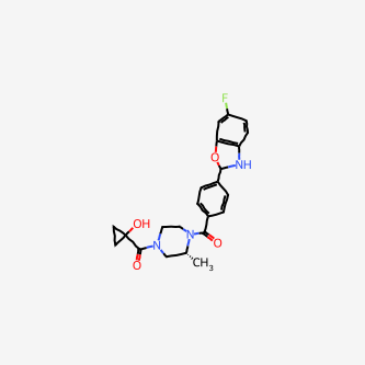 C[C@@H]1CN(C(=O)C2(O)CC2)CCN1C(=O)c1ccc(C2Nc3ccc(F)cc3O2)cc1